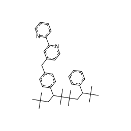 CC(C)(C)CC(c1ccc(Cc2ccnc(-c3ccccn3)c2)cc1)C(C)(C)C(C)(C)CC(c1ccccc1)C(C)(C)C